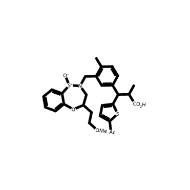 COCCC1CN(Cc2cc(C(c3ccc(C(C)=O)s3)C(C)C(=O)O)ccc2C)[S+]([O-])c2ccccc2O1